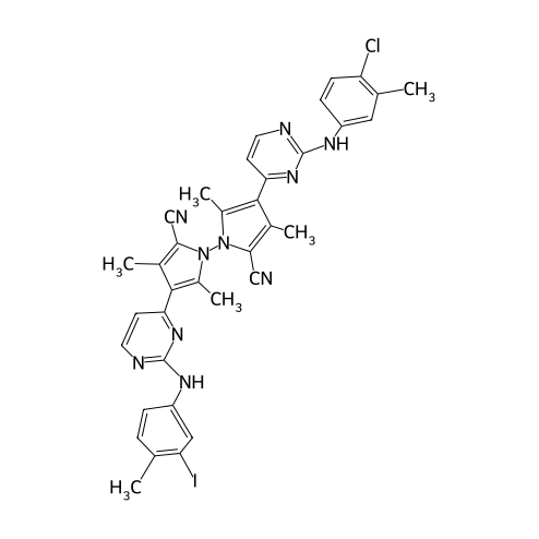 Cc1cc(Nc2nccc(-c3c(C)c(C#N)n(-n4c(C)c(-c5ccnc(Nc6ccc(C)c(I)c6)n5)c(C)c4C#N)c3C)n2)ccc1Cl